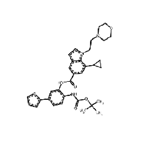 CC(C)(C)OC(=O)Nc1ccc(-c2cccs2)cc1NC(=O)c1cc(C2CC2)c2c(ccn2CCN2CCOCC2)c1